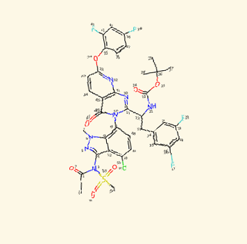 CC(=O)N(c1nn(C)c2c(-n3c(C(Cc4cc(F)cc(F)c4)NC(=O)OC(C)(C)C)nc4nc(Oc5ccc(F)cc5F)ccc4c3=O)ccc(Cl)c12)S(C)(=O)=O